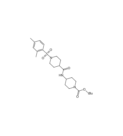 Cc1ccc(S(=O)(=O)N2CCC(C(=O)NC3CCN(C(=O)OC(C)(C)C)CC3)CC2)c(C)c1